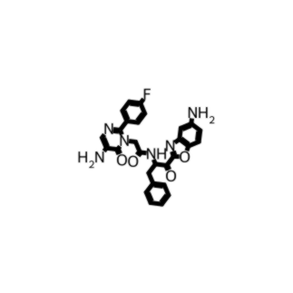 Nc1ccc2oc(C(=O)C(Cc3ccccc3)NC(=O)Cn3c(-c4ccc(F)cc4)ncc(N)c3=O)nc2c1